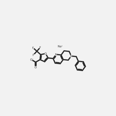 O=C([O-])c1cc(-c2ccc3c(n2)CCN(Cc2ccccc2)C3)oc1C(F)(F)F.[Na+]